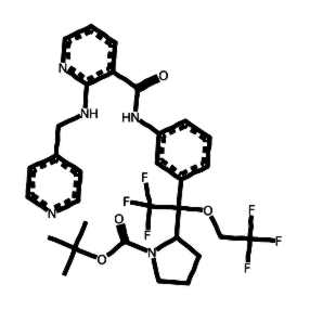 CC(C)(C)OC(=O)N1CCCC1C(OCC(F)(F)F)(c1cccc(NC(=O)c2cccnc2NCc2ccncc2)c1)C(F)(F)F